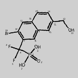 O=P(O)(O)C(F)(F)c1cc2cc(CO)ccc2cc1Br